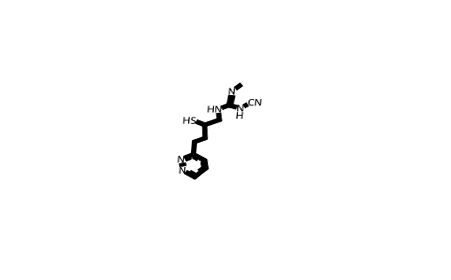 CN=C(NC#N)NCC(S)CCc1cccnn1